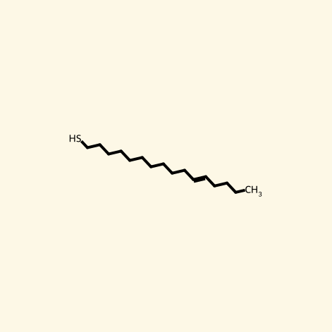 CCCCC=CCCCCCCCCCCS